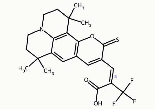 CC1(C)CCN2CCC(C)(C)c3c2c1cc1cc(/C=C(\C(=O)O)C(F)(F)F)c(=S)oc31